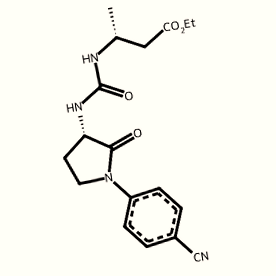 CCOC(=O)C[C@@H](C)NC(=O)N[C@H]1CCN(c2ccc(C#N)cc2)C1=O